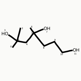 CC(C)(O)CC(C)(O)CCCO